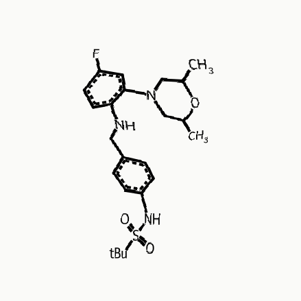 CC1CN(c2cc(F)ccc2NCc2ccc(NS(=O)(=O)C(C)(C)C)cc2)CC(C)O1